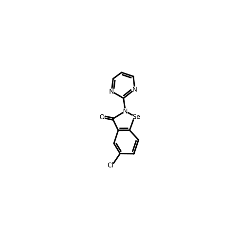 O=c1c2cc(Cl)ccc2[se]n1-c1ncccn1